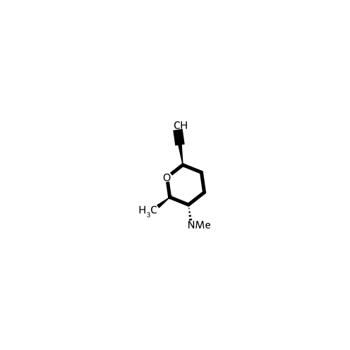 C#C[C@H]1CC[C@H](NC)[C@@H](C)O1